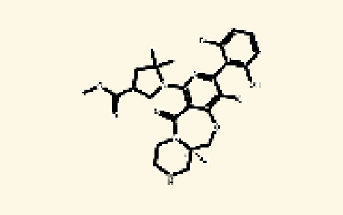 COC(=O)C1CN(c2nc(-c3c(O)cccc3F)c(Cl)c3c2C(=O)N2CCNC[C@@H]2CO3)C(C)(C)C1